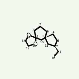 IC[C@@H]1CC[C@@]2(CCCC3(C2)OCCO3)C1